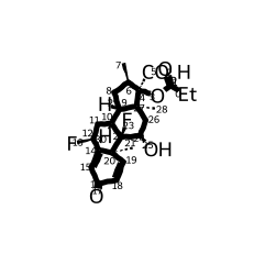 CCC(=O)O[C@]1(C(=O)O)[C@H](C)C[C@H]2[C@@H]3C[C@H](F)C4=CC(=O)C=C[C@]4(C)[C@@]3(F)[C@H](O)C[C@@]21C